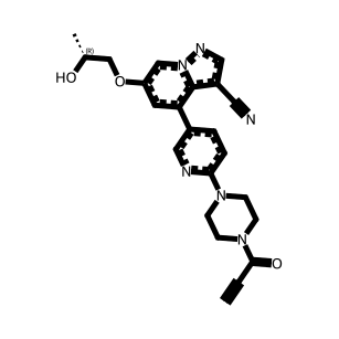 C#CC(=O)N1CCN(c2ccc(-c3cc(OC[C@@H](C)O)cn4ncc(C#N)c34)cn2)CC1